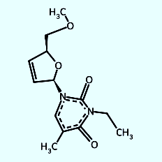 CCn1c(=O)c(C)cn([C@H]2C=C[C@@H](COC)O2)c1=O